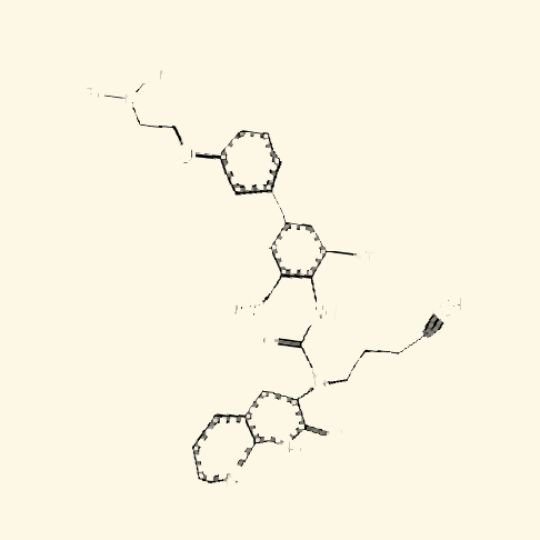 C#CCCCN(C(=O)Nc1c(C(C)C)cc(-c2cccc(OCCN(CC)CC)c2)cc1C(C)C)c1cc2cccnc2[nH]c1=O